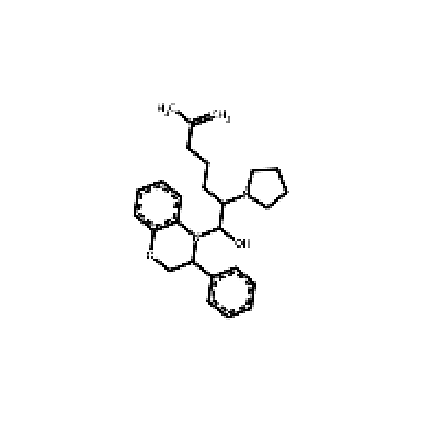 C=C(C)CCCC(C(O)N1c2ccccc2OCC1c1ccccc1)N1CCCC1